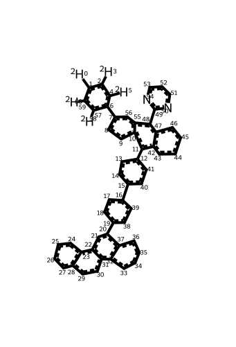 [2H]c1c([2H])c([2H])c(-c2ccc3c(-c4ccc(-c5ccc(-c6cc7c8ccccc8ccc7c7ccccc67)cc5)cc4)c4ccccc4c(-c4ncccn4)c3c2)c([2H])c1[2H]